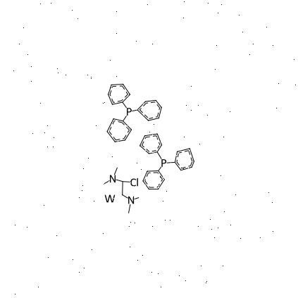 CN(C)CC(Cl)N(C)C.[W].c1ccc(P(c2ccccc2)c2ccccc2)cc1.c1ccc(P(c2ccccc2)c2ccccc2)cc1